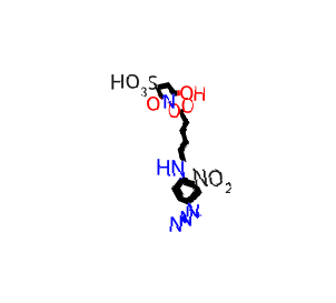 [N-]=[N+]=Nc1ccc(NCCCCCC(=O)ON2C(=O)C(S(=O)(=O)O)CC2O)c([N+](=O)[O-])c1